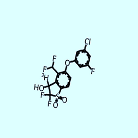 [2H]C1(O)c2c(ccc(Oc3cc(F)cc(Cl)c3)c2C(F)F)S(=O)(=O)C1(F)F